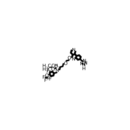 CC(C)(C)OC(=O)N(CCCCOCCOc1nc2cc(-c3nn[nH]n3)ccc2c2cnccc12)Cc1cc(F)c(OC(F)(F)F)c(F)c1